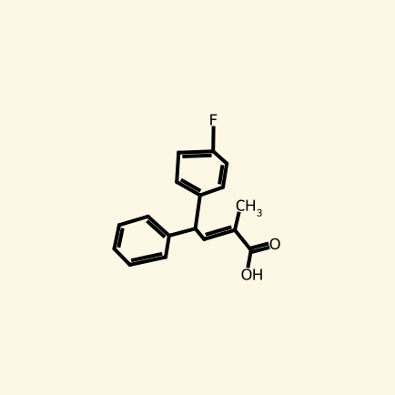 C/C(=C\C(c1ccccc1)c1ccc(F)cc1)C(=O)O